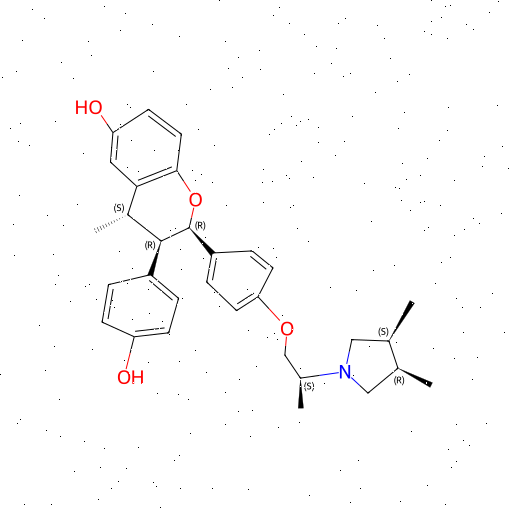 C[C@@H]1CN([C@@H](C)COc2ccc([C@@H]3Oc4ccc(O)cc4[C@@H](C)[C@@H]3c3ccc(O)cc3)cc2)C[C@@H]1C